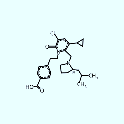 CC(C)C[C@H]1CCCN1Cc1c(C2CC2)cc(Cl)c(=O)n1CCc1ccc(C(=O)O)cc1